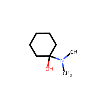 CN(C)C1(O)CCCCC1